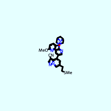 COc1ccc(CN2C3CC2CN(c2ccc(-c4cc(CCSC)cn5ncc(C#N)c45)cn2)C3)cn1